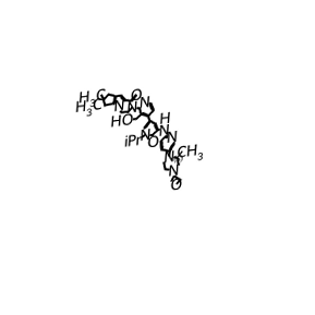 CC(C)n1cc(-c2ccnc(N3CCn4c(cc5c4CC(C)(C)C5)C3=O)c2CO)cc(Nc2ccc(N3CCN(C4COC4)C[C@@H]3C)cn2)c1=O